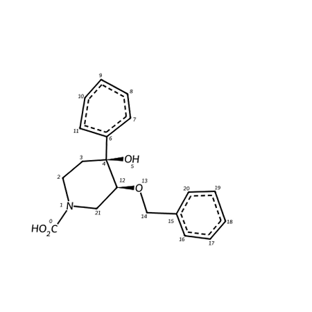 O=C(O)N1CC[C@](O)(c2ccccc2)[C@@H](OCc2ccccc2)C1